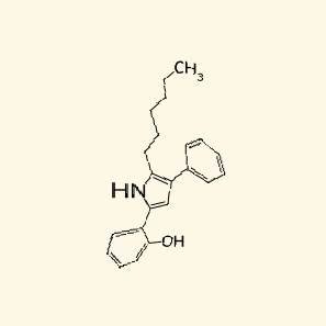 CCCCCCc1[nH]c(-c2ccccc2O)cc1-c1ccccc1